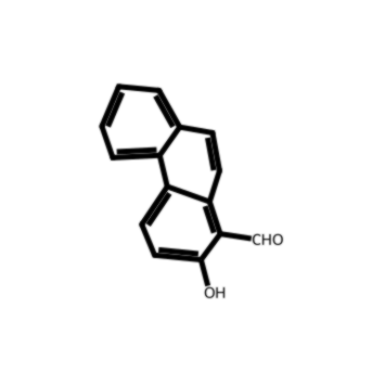 O=Cc1c(O)ccc2c1ccc1ccccc12